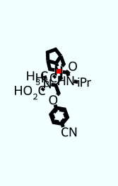 CC(C)NC(=O)N(C)C1C2CCC1CN(C[C@@H](COc1ccc(C#N)cc1)N(C)C(=O)O)C2